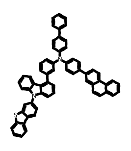 c1ccc(-c2ccc(N(c3ccc(-c4ccc5c(ccc6ccccc65)c4)cc3)c3cccc(-c4cccc5c4c4ccccc4n5-c4ccc5c(c4)sc4ccccc45)c3)cc2)cc1